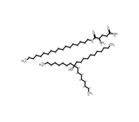 CCCCCCCCCCCC(O)(CCCCCCCC)CCCCCCCC.CCCCCCCCCCCCCCCCCCOC(=O)C(N)CCC(=O)O